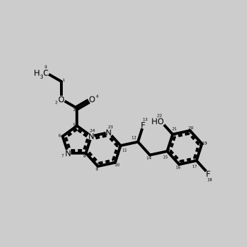 CCOC(=O)c1cnc2ccc(C(F)Cc3cc(F)ccc3O)nn12